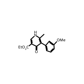 CCOC(=O)c1c[nH]c(C)c(-c2cccc(OC)c2)c1=O